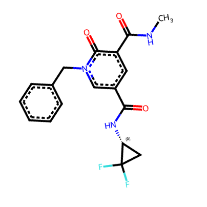 CNC(=O)c1cc(C(=O)N[C@@H]2CC2(F)F)cn(Cc2ccccc2)c1=O